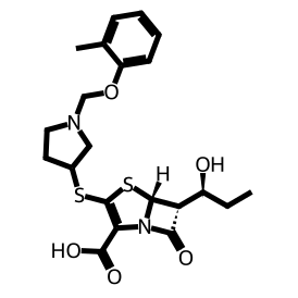 CC[C@H](O)[C@@H]1C(=O)N2C(C(=O)O)=C(SC3CCN(COc4ccccc4C)C3)S[C@H]12